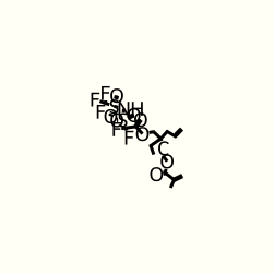 C=CCC(CC)(CCOC(=O)C(=C)C)COC(=O)C(F)(F)S(=O)(=O)NS(=O)(=O)C(F)(F)F